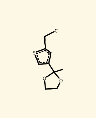 CC1(c2csc(CCl)c2)OCCO1